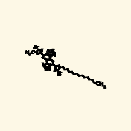 CCCCCCCCCCCCCCCc1cc(-c2cc3c(cc(-c4cc(C)c(Br)s4)c4nsnc43)c3nsnc23)sc1Br